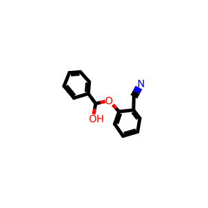 N#Cc1ccccc1OC(O)c1ccccc1